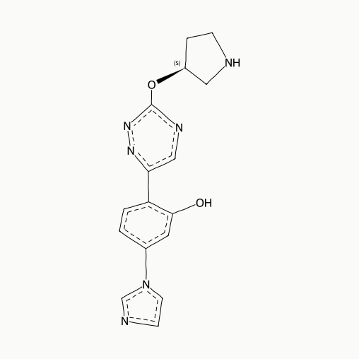 Oc1cc(-n2ccnc2)ccc1-c1cnc(O[C@H]2CCNC2)nn1